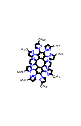 COc1ccn(-c2c3c(c(-n4ccc(OC)n4)c(-n4ccc(OC)n4)c2-n2ccc(OC)n2)-c2nccnc2-c2c(c(-n4ccc(OC)n4)c(-n4ccc(OC)n4)c(-n4ccc(OC)n4)c2-n2ccc(OC)n2)-c2nccnc2-3)n1